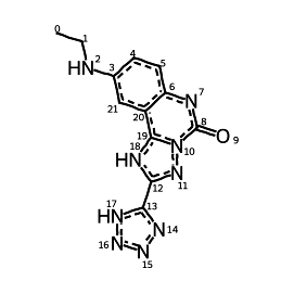 CCNc1ccc2nc(=O)n3nc(-c4nnn[nH]4)[nH]c3c2c1